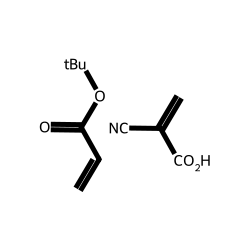 C=C(C#N)C(=O)O.C=CC(=O)OC(C)(C)C